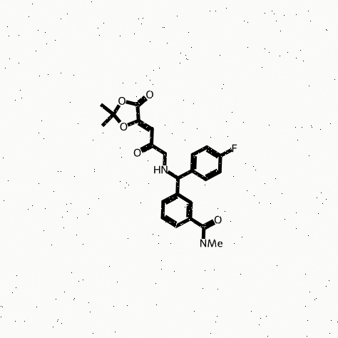 CNC(=O)c1cccc(C(NCC(=O)/C=C2\OC(C)(C)OC2=O)c2ccc(F)cc2)c1